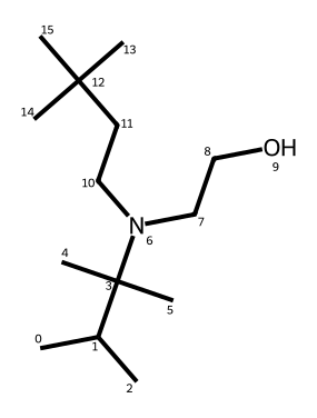 CC(C)C(C)(C)N(CCO)CCC(C)(C)C